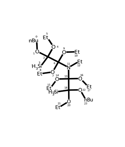 CCCCOC([SiH3])(OCC)C(OCC)(OCC)N(CC)C(OCC)(OCC)C([SiH3])(OCC)OCCCC